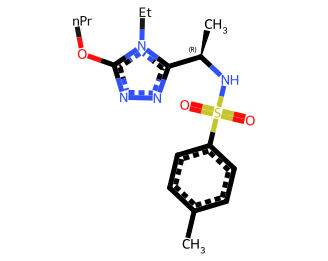 CCCOc1nnc([C@@H](C)NS(=O)(=O)c2ccc(C)cc2)n1CC